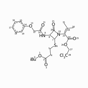 CCC(C)OC(=O)CCSC1C(NC(=O)COc2ccccc2)C(=O)N1C(C(=O)OCC(Cl)(Cl)Cl)=C(C)C